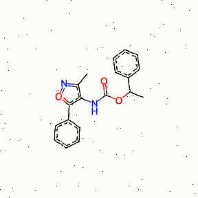 Cc1noc(-c2ccccc2)c1NC(=O)OC(C)c1ccccc1